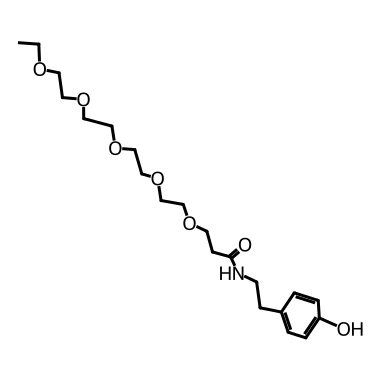 CCOCCOCCOCCOCCOCCC(=O)NCCc1ccc(O)cc1